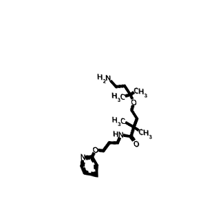 CC(C)(CCN)OCCC(C)(C)C(=O)NCCCOc1ccccn1